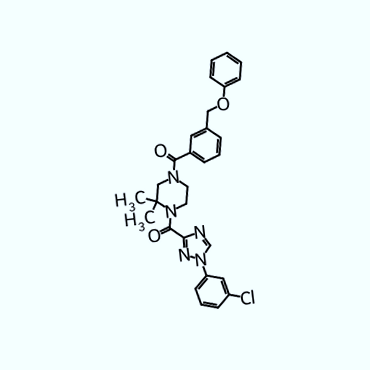 CC1(C)CN(C(=O)c2cccc(COc3ccccc3)c2)CCN1C(=O)c1ncn(-c2cccc(Cl)c2)n1